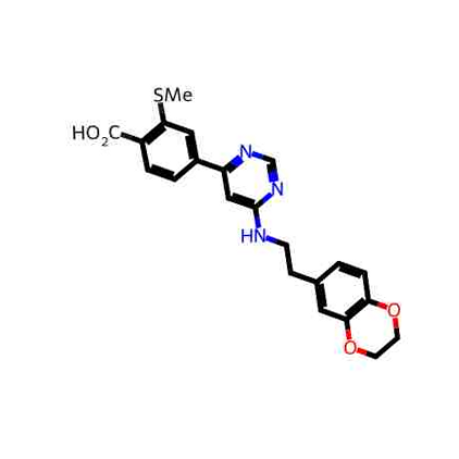 CSc1cc(-c2cc(NCCc3ccc4c(c3)OCCO4)ncn2)ccc1C(=O)O